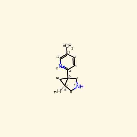 FC(F)(F)c1ccc(C23CNC[C@H]2C3)nc1